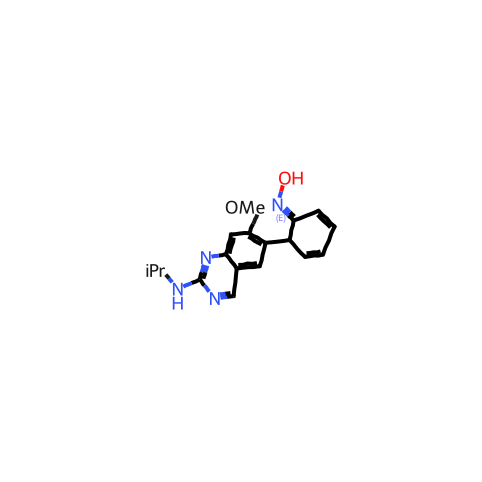 COc1cc2nc(NC(C)C)ncc2cc1C1C=CC=C/C1=N\O